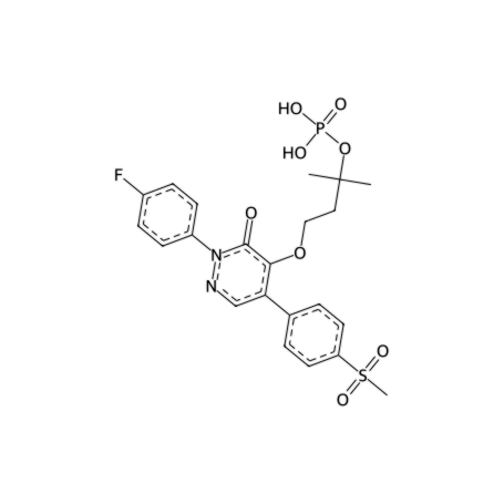 CC(C)(CCOc1c(-c2ccc(S(C)(=O)=O)cc2)cnn(-c2ccc(F)cc2)c1=O)OP(=O)(O)O